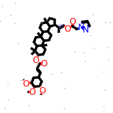 COC1CC(C=CC(=O)OC2CCC3(C)C(CCC4(C)C5CCC6(C)CCC(/C(C)=C/OC(=O)Cn7cccn7)C6C5CCC43)C2(C)C)CC(OC)C1OC